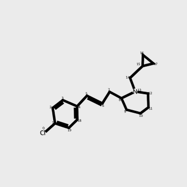 Clc1ccc(/C=C/CC2CCCCN2CC2CC2)cc1